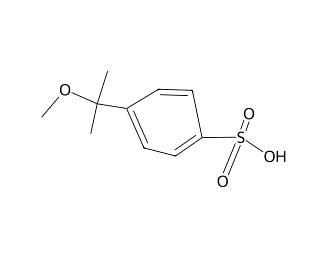 COC(C)(C)c1ccc(S(=O)(=O)O)cc1